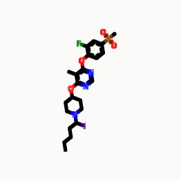 CCCCC(I)N1CCC(Oc2ncnc(Oc3ccc(S(C)(=O)=O)cc3F)c2C)CC1